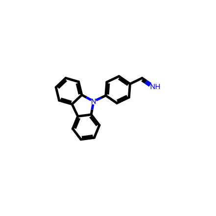 N=Cc1ccc(-n2c3ccccc3c3ccccc32)cc1